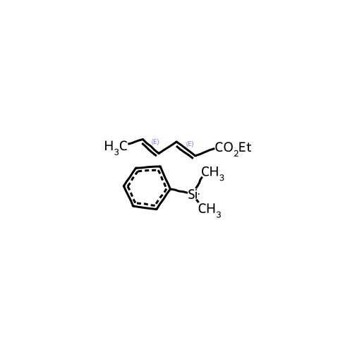 C/C=C/C=C/C(=O)OCC.C[Si](C)c1ccccc1